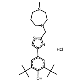 CN1CCCN(Cc2nc(-c3cc(C(C)(C)C)c(O)c(C(C)(C)C)c3)cs2)CC1.Cl